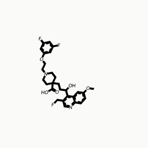 COc1ccc2ncc(CF)c(C(O)CCC3(C(=O)O)CCN(CCOc4cc(F)cc(F)c4)CC3)c2c1